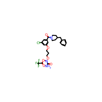 NC(=O)N(OCCCOc1cc(Cl)cc(C(=O)N2CCC(Cc3ccccc3)CC2)c1)OC(=O)C(F)(F)F